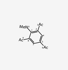 CNc1c(C(C)=O)cc(C(C)=O)cc1C(C)=O